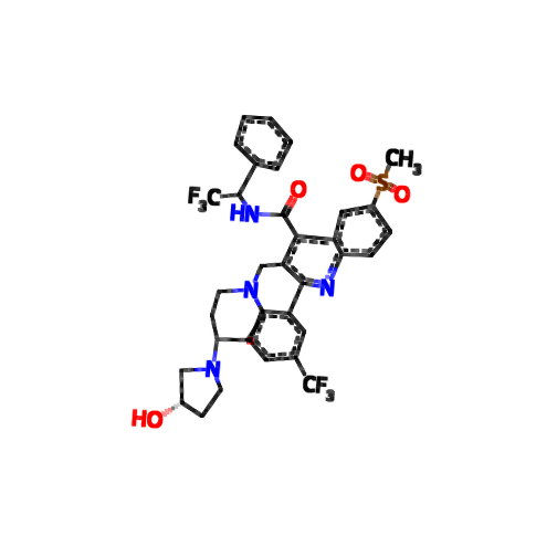 CS(=O)(=O)c1ccc2nc(-c3cccc(C(F)(F)F)c3)c(CN3CCC(N4CC[C@H](O)C4)CC3)c(C(=O)NC(c3ccccc3)C(F)(F)F)c2c1